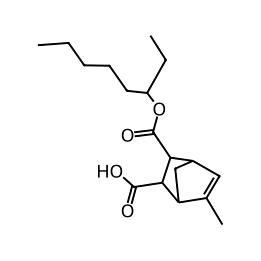 CCCCCC(CC)OC(=O)C1C2C=C(C)C(C2)C1C(=O)O